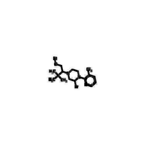 [CH2]COCC(N1CCN(c2ncccc2C(F)(F)F)C(Br)C1)[Si](C)(C)C